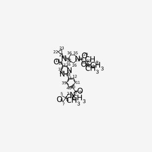 CN(CC1(C)COC1)C(=O)c1ccc(-c2ncc(C(=O)N(C3CC3)C3CCN(C(=O)OC(C)(C)C)CC3)cn2)cc1